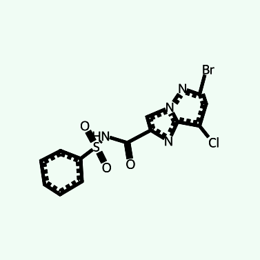 O=C(NS(=O)(=O)c1ccccc1)c1cn2nc(Br)cc(Cl)c2n1